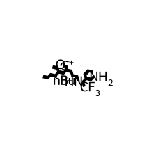 C=C/C=C(CCCC)/C(C=C)=C/C(=C\CCNC(C(/C=C\C)=C/N)C(F)(F)F)[S+](C)[O-]